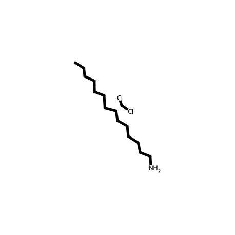 CCCCCCCCCCCCCCN.ClCCl